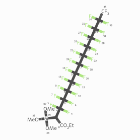 CCOC(=O)C(C(F)(F)C(F)(F)C(F)(F)C(F)(F)C(F)(F)C(F)(F)C(F)(F)C(F)(F)C(F)(F)C(F)(F)C(F)(F)C(F)(F)F)[Si](OC)(OC)OC